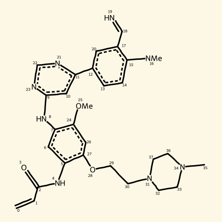 C=CC(=O)Nc1cc(Nc2cc(-c3ccc(NC)c(C=N)c3)ncn2)c(OC)cc1OCCN1CCN(C)CC1